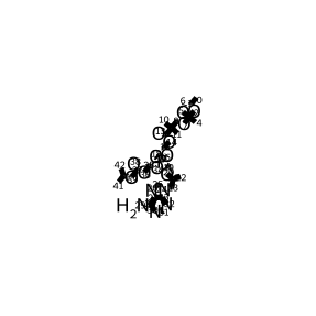 CCOC(C)(OC)OCC(C)(C)C(=O)OCOP(=O)(COC(C)Cn1cnc2c(N)ncnc21)OCOC(=O)OC(C)C